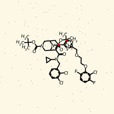 CC(C)(C)OC(=O)N1CC2CC(c3cnc(COCCOc4c(F)ccc(F)c4Cl)s3)=C(C(=O)N(Cc3cccc(Cl)c3Cl)C3CC3)C(C1)N2C(=O)OC(C)(C)C